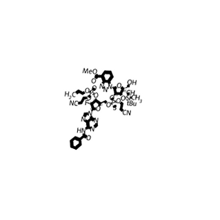 C=CCOP(=O)(OCCC#N)O[C@H]1[C@@H](F)[C@H](n2cnc3c(NC(=O)c4ccccc4)ncnc32)O[C@@H]1COP(=S)(OCCC#N)O[C@@H]1C(O[Si](C)(C)C(C)(C)C)[C@@H](CO)O[C@H]1n1nnc2c(C(=O)OC)cccc21